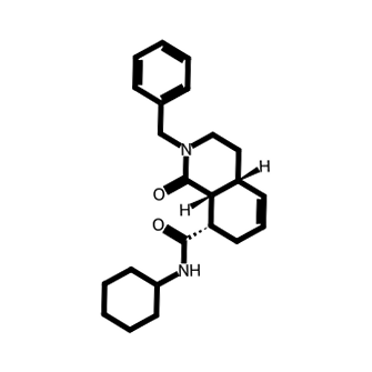 O=C(NC1CCCCC1)[C@H]1CC=C[C@H]2CCN(Cc3ccccc3)C(=O)[C@@H]12